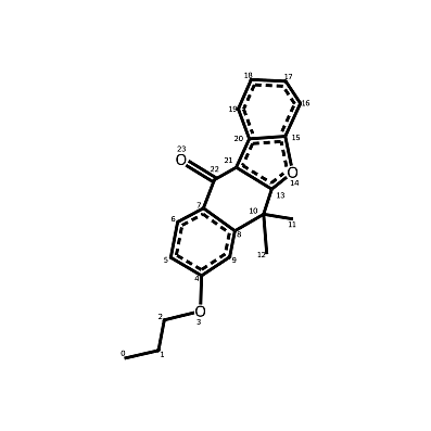 CCCOc1ccc2c(c1)C(C)(C)c1oc3ccccc3c1C2=O